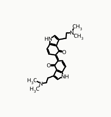 CN(C)CCc1c[nH]c2c1C(=O)C(=C1C=Cc3[nH]cc(CCN(C)C)c3C1=O)C=C2